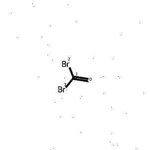 [CH]=C(Br)Br